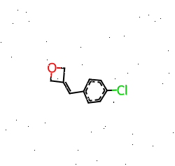 Clc1ccc(C=C2COC2)cc1